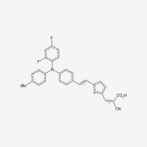 CC(C)(C)c1ccc(N(c2ccc(/C=C/c3ccc(/C=C(/C#N)C(=O)O)s3)cc2)c2ccc(F)cc2F)cc1